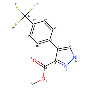 COC(=O)c1n[nH]cc1-c1ccc(C(F)(F)F)cc1